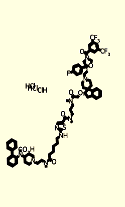 CN(CCN1CCC(N(C(=O)O)c2ccccc2-c2ccccc2)CC1)C(=O)CCCCCNc1ncc(C(=O)N(C)CCCN(C)C(=O)CO[C@H]2Cc3ccccc3C23CCN(CC[C@]2(c4ccc(F)cc4)CN(C(=O)c4cc(C(F)(F)F)cc(C(F)(F)F)c4)CO2)CC3)s1.Cl.Cl.Cl